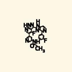 CCC(=O)Nc1cncc(-c2cnc3[nH]nc(-c4nc5c(-c6cccc(F)c6)nccc5[nH]4)c3c2F)c1